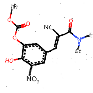 CCCOC(=O)Oc1cc(/C=C(\C#N)C(=O)N(CC)CC)cc([N+](=O)[O-])c1O